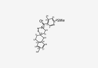 CSc1ccc(C(=O)N2CCC3(CCc4cc(C)ccc4C3)CC2)c(C)c1